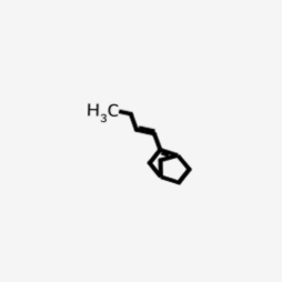 CC/C=C/C1=C2CCC(C1)C2